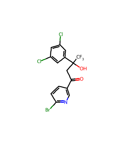 O=C(CC(O)(c1cc(Cl)cc(Cl)c1)C(F)(F)F)c1ccc(Br)nc1